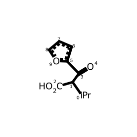 CC(C)C(C(=O)O)C(=O)c1ccco1